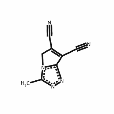 Cc1nnc2n1CC(C#N)=C2C#N